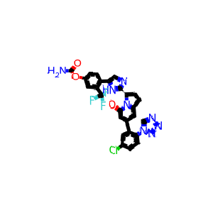 NC(=O)Oc1ccc(-c2cnc([C@@H]3CCc4cc(-c5cc(Cl)ccc5-n5cnnn5)cc(=O)n43)[nH]2)c(C(F)(F)F)c1